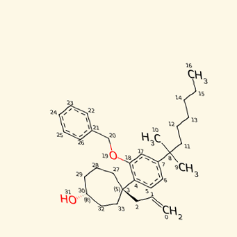 C=CC[C@]1(c2ccc(C(C)(C)CCCCCC)cc2OCc2ccccc2)CCC[C@@H](O)CC1